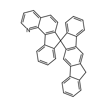 c1ccc2c(c1)Cc1cc3c(cc1-2)C1(c2ccccc2-3)c2ccccc2-c2c1ccc1cccnc21